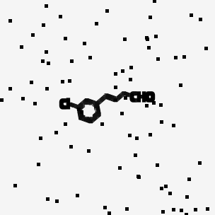 O=CCC=Cc1cccc(Cl)c1